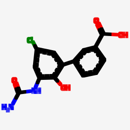 NC(=O)Nc1cc(Cl)cc(-c2cccc(C(=O)O)c2)c1O